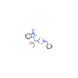 CCC(=O)N(c1n[nH]c2ccccc12)C1CCN(Cc2ccccc2)CC1